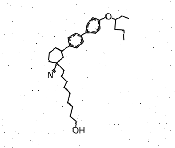 CCCC(CC)Oc1ccc(-c2ccc(C3CCCC(C#N)(CCCCCCCCCO)C3)cc2)cc1